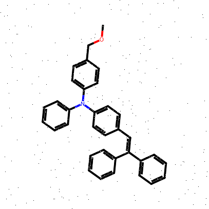 COCc1ccc(N(c2ccccc2)c2ccc(C=C(c3ccccc3)c3ccccc3)cc2)cc1